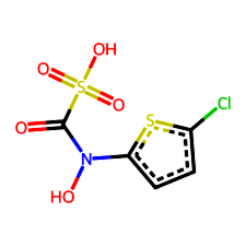 O=C(N(O)c1ccc(Cl)s1)S(=O)(=O)O